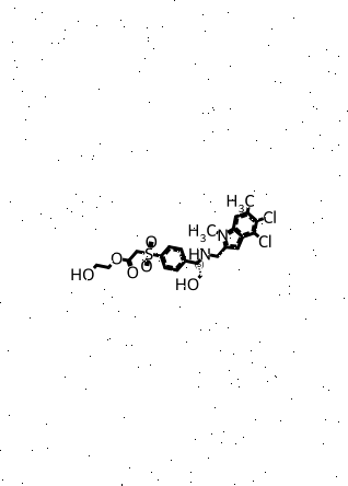 Cc1cc2c(cc(CN[C@H](CO)c3ccc(S(=O)(=O)CC(=O)OCCO)cc3)n2C)c(Cl)c1Cl